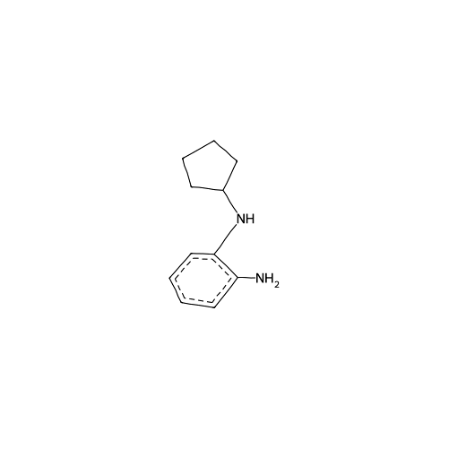 Nc1ccccc1NC1CCCC1